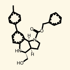 Cc1ccc(-c2ccc3c(c2)[C@@H]2[C@@H](CCN2C(=O)OCc2ccccc2)[C@H](CO)N3)cc1